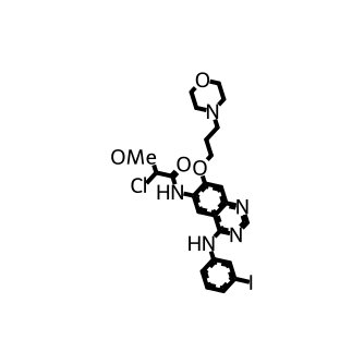 COC(Cl)C(=O)Nc1cc2c(Nc3cccc(I)c3)ncnc2cc1OCCCN1CCOCC1